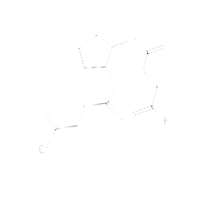 C=C(CC)COC(=O)OC1CCCC1OC(=O)OCC(=C)CC